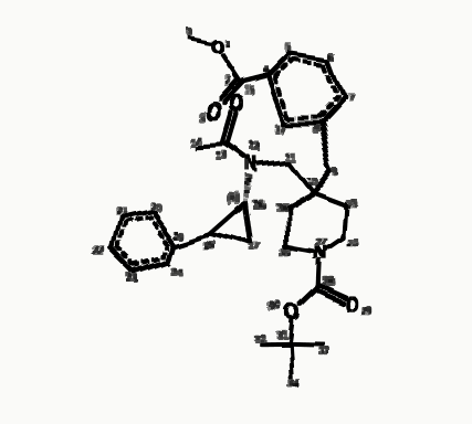 COC(=O)c1cccc(CC2(CN(C(C)=O)[C@@H]3CC3c3ccccc3)CCN(C(=O)OC(C)(C)C)CC2)c1